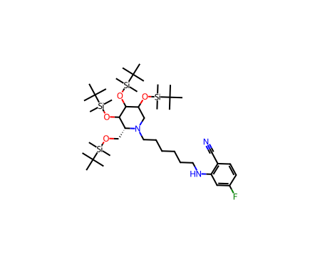 CC(C)(C)[Si](C)(C)OC[C@@H]1C(O[Si](C)(C)C(C)(C)C)C(O[Si](C)(C)C(C)(C)C)C(O[Si](C)(C)C(C)(C)C)CN1CCCCCCNc1cc(F)ccc1C#N